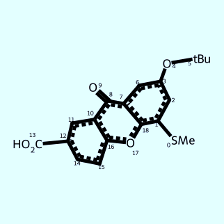 CSc1cc(OC(C)(C)C)cc2c(=O)c3cc(C(=O)O)ccc3oc12